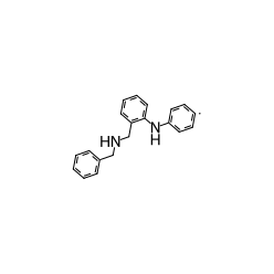 [c]1ccc(Nc2ccccc2CNCc2ccccc2)cc1